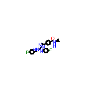 O=C(NC1CC1)c1ccc(-c2cnc3c(NCc4ccc(F)cc4)nc4ccc(F)cc4n23)cc1